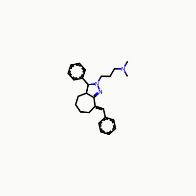 CN(C)CCCN1N=C2C(=Cc3ccccc3)CCCCC2C1c1ccccc1